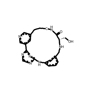 O=C1NCCCc2cncc(c2)-c2ncnc(n2)Nc2cccc(c2)CN[C@H]1CO